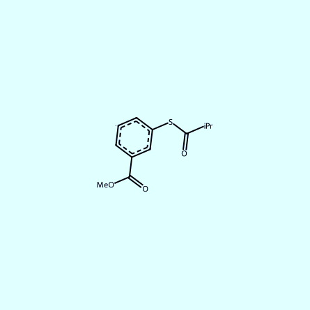 COC(=O)c1c[c]cc(SC(=O)C(C)C)c1